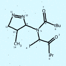 CC(C)C(=O)C(I)N(C(=O)C(C)(C)C)C1N=NCC1C